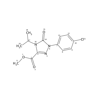 COC(=O)c1nn(-c2ccc(Cl)cc2)c(=O)n1C(C)C